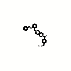 O=CCc1ccc(C(=O)N2CCC3(CCN(Cc4ccccc4OCc4ccccc4)CC3)CC2)cc1